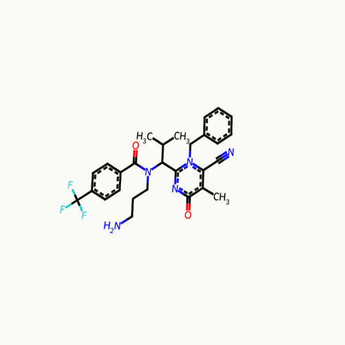 Cc1c(C#N)n(Cc2ccccc2)c(C(C(C)C)N(CCCN)C(=O)c2ccc(C(F)(F)F)cc2)nc1=O